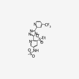 CCS(=O)(=O)c1cc(NS(C)(=O)=O)cnc1-c1nnc(-c2cc(C(F)(F)F)ccn2)n1C